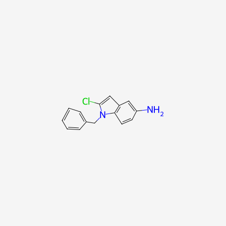 Nc1ccc2c(c1)cc(Cl)n2Cc1ccccc1